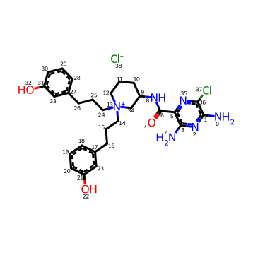 Nc1nc(N)c(C(=O)NC2CCC[N+](CCCc3cccc(O)c3)(CCCc3cccc(O)c3)C2)nc1Cl.[Cl-]